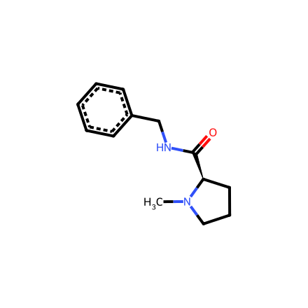 CN1CCC[C@@H]1C(=O)NCc1ccccc1